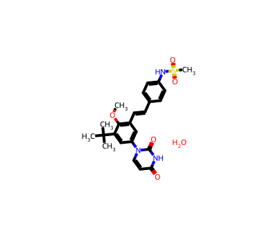 COc1c(C=Cc2ccc(NS(C)(=O)=O)cc2)cc(-n2ccc(=O)[nH]c2=O)cc1C(C)(C)C.O